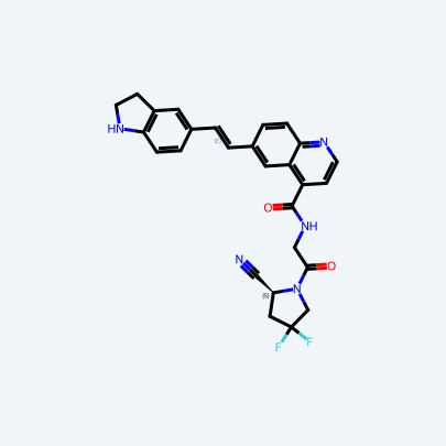 N#C[C@@H]1CC(F)(F)CN1C(=O)CNC(=O)c1ccnc2ccc(/C=C/c3ccc4c(c3)CCN4)cc12